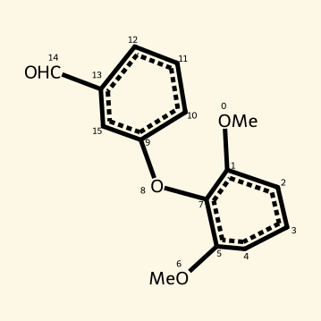 COc1cccc(OC)c1Oc1cccc(C=O)c1